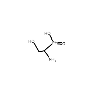 NC(CO)[PH](=O)O